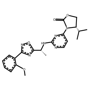 COc1ccccc1-c1noc([C@@H](C)Nc2nccc(N3C(=O)OC[C@@H]3C(C)C)n2)n1